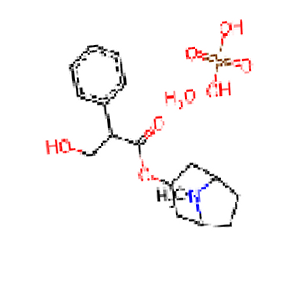 CN1C2CCC1CC(OC(=O)C(CO)c1ccccc1)C2.O.O=S(=O)(O)O